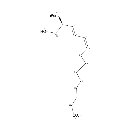 CCCCC[C@@H](/C=C/C=C\CCCCCCCC(=O)O)OO